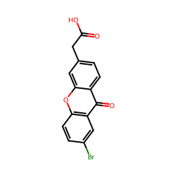 O=C(O)Cc1ccc2c(=O)c3cc(Br)ccc3oc2c1